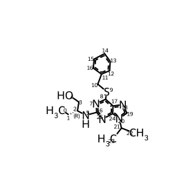 CC[C@H](CO)Nc1nc(SCc2ccccc2)c2ncn(C(C)C)c2n1